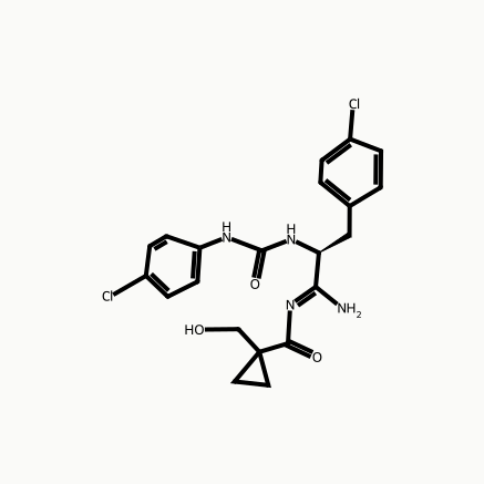 N/C(=N\C(=O)C1(CO)CC1)[C@H](Cc1ccc(Cl)cc1)NC(=O)Nc1ccc(Cl)cc1